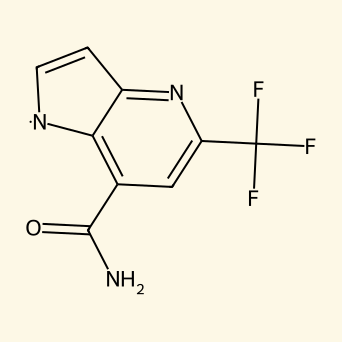 NC(=O)c1cc(C(F)(F)F)nc2c1[N]C=C2